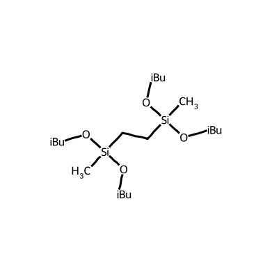 CCC(C)O[Si](C)(CC[Si](C)(OC(C)CC)OC(C)CC)OC(C)CC